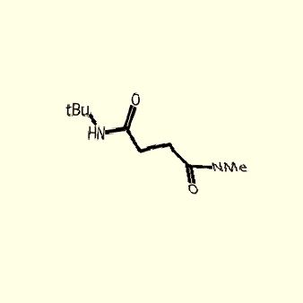 CNC(=O)CCC(=O)NC(C)(C)C